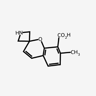 Cc1ccc2c(c1C(=O)O)OC1(C=C2)CNC1